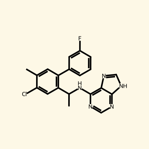 Cc1cc(-c2cccc(F)c2)c(C(C)Nc2ncnc3[nH]cnc23)cc1Cl